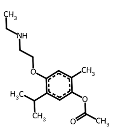 CCNCCOc1cc(C)c(OC(C)=O)cc1C(C)C